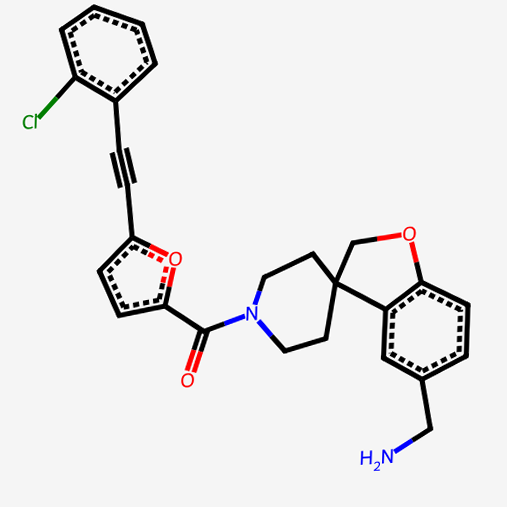 NCc1ccc2c(c1)C1(CCN(C(=O)c3ccc(C#Cc4ccccc4Cl)o3)CC1)CO2